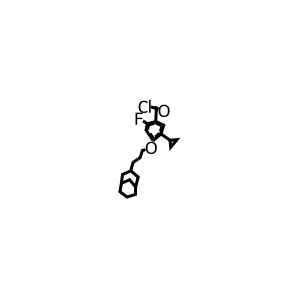 O=C(Cl)c1cc(C2CC2)c(OCCCC2CC3CCCC(C2)C3)cc1F